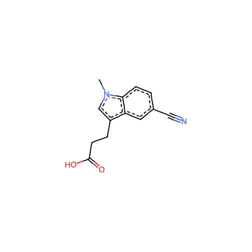 Cn1cc(CCC(=O)O)c2cc(C#N)ccc21